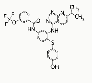 CC(C)c1ccc2c(Nc3cc(NC(=O)c4cccc(OC(F)(F)F)c4)ccc3Sc3ccc(O)cc3)ncnc2n1